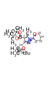 Cc1c(B2OC(C)(C)C(C)(C)O2)c(CO[Si](C)(C)C(C)(C)C)nn1C1CCCCO1